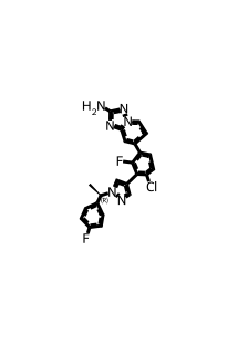 C[C@H](c1ccc(F)cc1)n1cc(-c2c(Cl)ccc(-c3ccn4nc(N)nc4c3)c2F)cn1